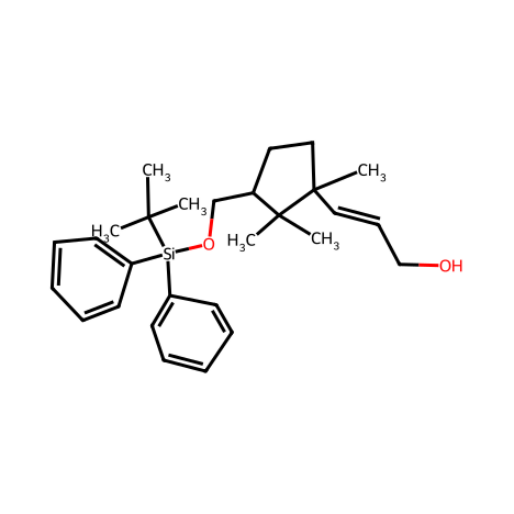 CC1(C=CCO)CCC(CO[Si](c2ccccc2)(c2ccccc2)C(C)(C)C)C1(C)C